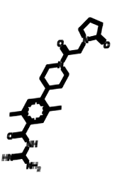 Cc1cc(C2CCN(C(=O)CN3CCCC3=O)CC2)c(C)cc1C(=O)NC(=N)N